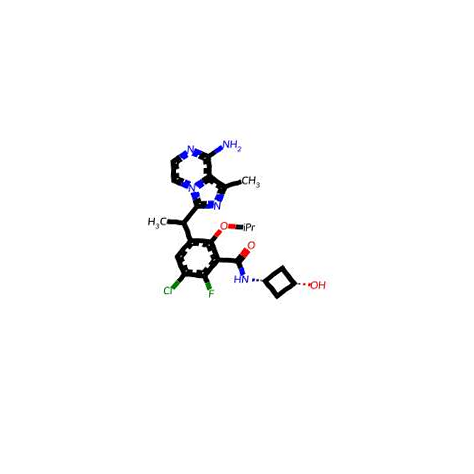 Cc1nc(C(C)c2cc(Cl)c(F)c(C(=O)N[C@H]3C[C@@H](O)C3)c2OC(C)C)n2ccnc(N)c12